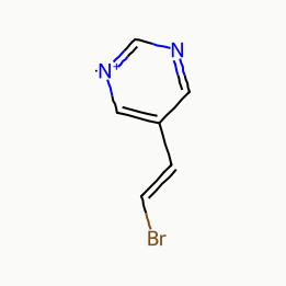 BrC=CC1=C[N+]=CN=C1